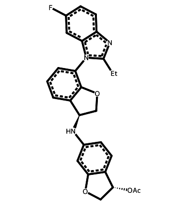 CCc1nc2ccc(F)cc2n1-c1cccc2c1OC[C@H]2Nc1ccc2c(c1)OC[C@H]2OC(C)=O